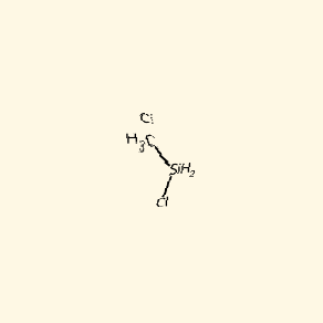 C[SiH2]Cl.[C]